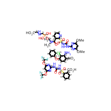 COc1cc(OC)nc(NC(=O)NS(=O)(=O)c2ncccc2C(=O)N(C)C)n1.Nc1c([N+](=O)[O-])ccc(Oc2ccccc2)c1Cl.O=C(Nc1nc(OC(F)F)cc(OC(F)F)n1)NS(=O)(=O)c1ccccc1C(=O)O.O=C(O)CNCP(=O)(O)O